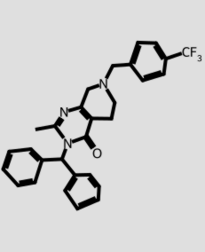 Cc1nc2c(c(=O)n1C(c1ccccc1)c1ccccc1)CCN(Cc1ccc(C(F)(F)F)cc1)C2